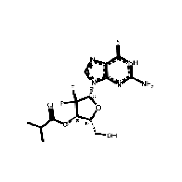 CC(C)C(=O)O[C@@H]1[C@@H](CO)O[C@@H](n2cnc3c(=S)[nH]c(N)nc32)C1(F)F